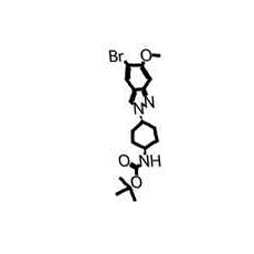 COc1cc2nn([C@H]3CC[C@H](NC(=O)OC(C)(C)C)CC3)cc2cc1Br